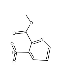 COC(=O)c1ncccc1[SH](=O)=O